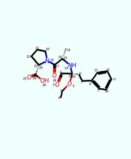 CCO[C@](C=O)(CCc1ccccc1)N[C@@H](C)C(=O)N1CCC[C@H]1C(=O)O